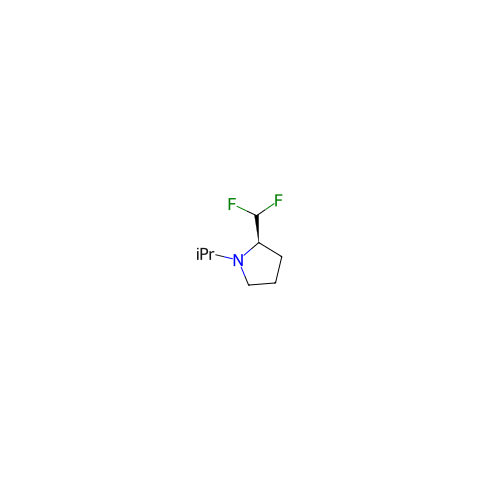 CC(C)N1CCC[C@@H]1C(F)F